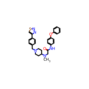 CN(CC(=O)Nc1ccc(Oc2ccccc2)cc1)C1CCN(Cc2ccc(-c3csnn3)cc2)CC1